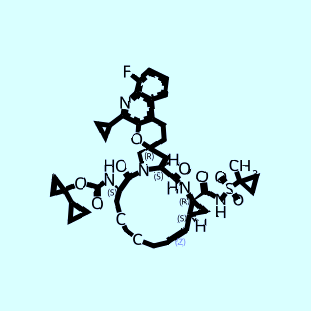 CC1(S(=O)(=O)NC(=O)[C@@]23C[C@H]2/C=C\CCCCC[C@H](NC(=O)OC2(C4CC4)CC2)C(=O)N2C[C@@]4(CCc5c(c(C6CC6)nc6c(F)cccc56)O4)C[C@H]2C(=O)N3)CC1